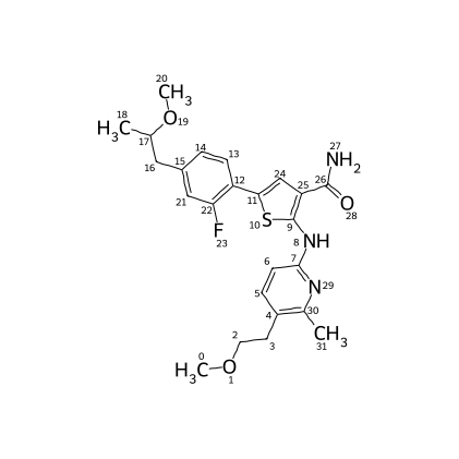 COCCc1ccc(Nc2sc(-c3ccc(CC(C)OC)cc3F)cc2C(N)=O)nc1C